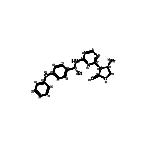 CC[C@@H](Nc1ncnc(N2C(=O)OC[C@@H]2C(C)C)n1)c1ccc(Oc2ccccc2)cc1